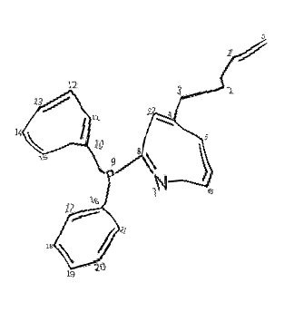 C=CCCc1ccnc(P(c2ccccc2)c2ccccc2)c1